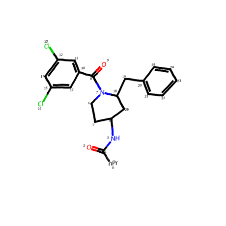 CCCC(=O)NC1CCN(C(=O)c2cc(Cl)cc(Cl)c2)C(Cc2ccccc2)C1